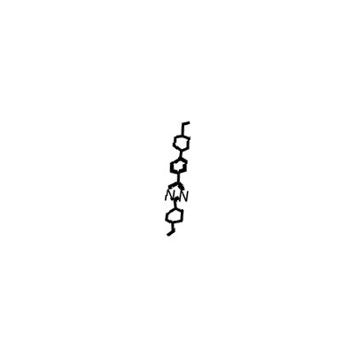 CCC1CCC(c2ccc(-c3cnc(C4CCC(CC)CC4)nc3)cc2)CC1